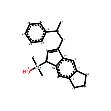 CC(CC1=CC([Si](C)(C)O)c2cc3c(cc21)CCC3)c1ccccc1